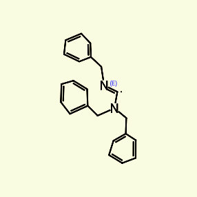 [C](=N\Cc1ccccc1)/N(Cc1ccccc1)Cc1ccccc1